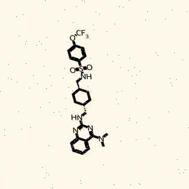 CN(C)c1nc(NC[C@H]2CC[C@H](CNS(=O)(=O)c3ccc(OC(F)(F)F)cc3)CC2)nc2ccccc12